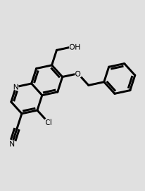 N#Cc1cnc2cc(CO)c(OCc3ccccc3)cc2c1Cl